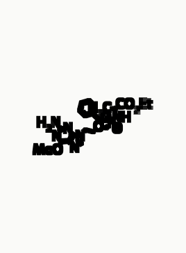 CCOC(=O)C(C)NP(=O)(COCCn1cnc2c(OC)nc(N)nc21)OCc1ccccc1